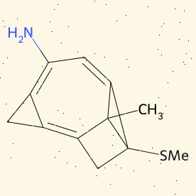 CSC12CC3=C4CC4=C(N)C=C1C32C